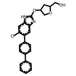 OCC1CC(Oc2nc3cc(-c4ccc(-c5ccccc5)cc4)c(Cl)cc3[nH]2)CO1